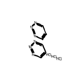 Cl.Cl.Cl.c1cnnnc1.c1cnnnc1